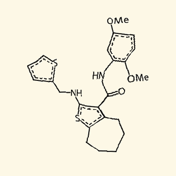 COc1ccc(OC)c(NC(=O)c2c(NCc3cccs3)sc3c2CCCCC3)c1